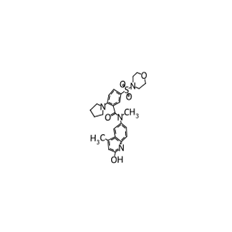 Cc1cc(O)nc2ccc(N(C)C(=O)c3cc(S(=O)(=O)N4CCOCC4)ccc3N3CCCC3)cc12